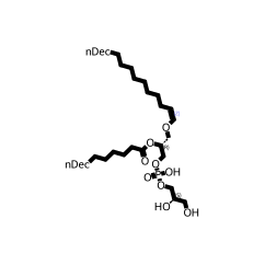 CCCCCCCCCCCCCCCCCC/C=C\OC[C@H](COP(=O)(O)OC[C@@H](O)CO)OC(=O)CCCCCCCCCCCCCCC